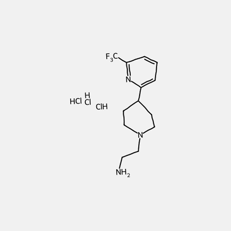 Cl.Cl.Cl.NCCN1CCC(c2cccc(C(F)(F)F)n2)CC1